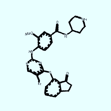 CCc1cnc(Nc2ccc(C(=O)NC3CCNCC3)cc2OC)nc1Oc1cccc2c1C(=O)CC2